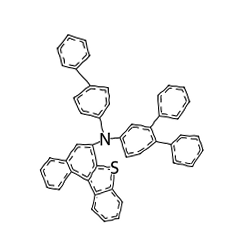 c1ccc(-c2ccc(N(c3ccc(-c4ccccc4)c(-c4ccccc4)c3)c3cc4ccccc4c4c3sc3ccccc34)cc2)cc1